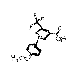 COc1ccc(N2C=C(C(=O)O)C=C(C(F)(F)F)C2)cc1